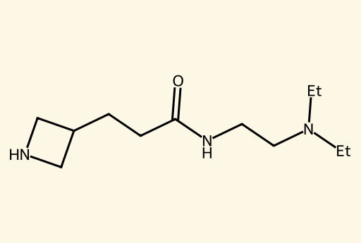 CCN(CC)CCNC(=O)CCC1CNC1